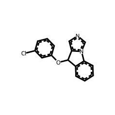 Clc1cccc(OC2c3ccccc3-n3cncc32)c1